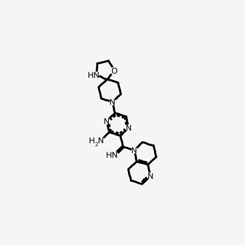 N=C(c1ncc(N2CCC3(CC2)NCCO3)nc1N)N1CCCC2=C1CCC=N2